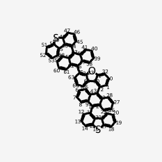 c1cc(-c2c3ccccc3c(-c3cccc4sc5ccccc5c34)c3ccccc23)c2c(c1)oc1c(-c3c4ccccc4c(-c4cccc5sc6ccccc6c45)c4ccccc34)cccc12